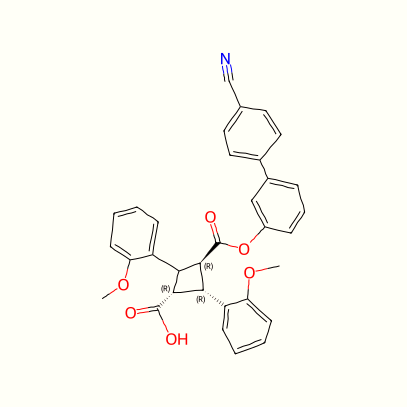 COc1ccccc1C1[C@@H](C(=O)O)[C@@H](c2ccccc2OC)[C@@H]1C(=O)Oc1cccc(-c2ccc(C#N)cc2)c1